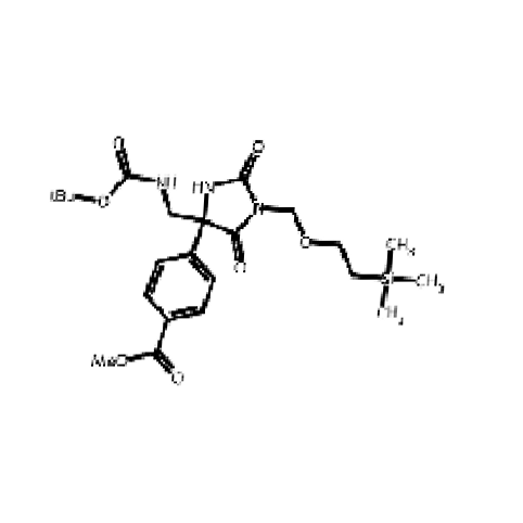 COC(=O)c1ccc(C2(CNC(=O)OC(C)(C)C)NC(=O)N(COCC[Si](C)(C)C)C2=O)cc1